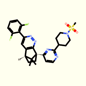 CC1(C)[C@H]2CC[C@]1(c1ccnc(C3CCN(S(C)(=O)=O)CC3)n1)c1nnc(-c3c(F)cccc3F)cc12